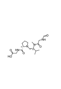 CC(C)[C@@H](CN1CCC[C@H]1C(=O)NCC(=O)O)N(C)C(=O)CNC=O